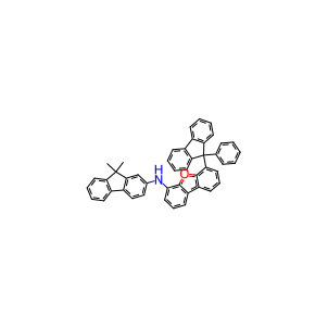 CC1(C)c2ccccc2-c2ccc(Nc3cccc4c3oc3c(C5(c6ccccc6)c6ccccc6-c6ccccc65)cccc34)cc21